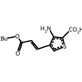 CC(C)(C)OC(=O)/C=C/c1csc(C(=O)O)c1N